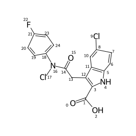 O=C(O)c1[nH]c2ccc(Cl)cc2c1CC(=O)N(Cl)c1ccc(F)cc1